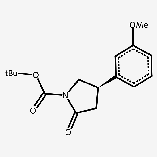 COc1cccc([C@H]2CC(=O)N(C(=O)OC(C)(C)C)C2)c1